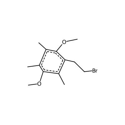 COc1c(C)c(C)c(OC)c(CCBr)c1C